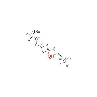 CC(C)(C)[Si](C)(C)OCC1CC(O)(CC#C[Si](C)(C)C)C1